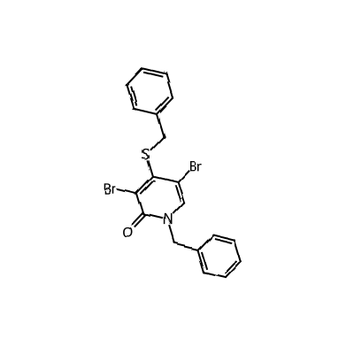 O=c1c(Br)c(SCc2ccccc2)c(Br)cn1Cc1ccccc1